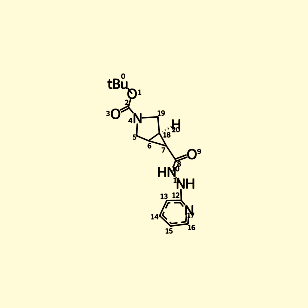 CC(C)(C)OC(=O)N1CC2C(C(=O)NNc3ccccn3)[C@@H]2C1